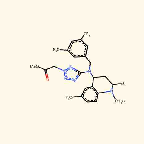 CCC1CC(N(Cc2cc(C(F)(F)F)cc(C(F)(F)F)c2)c2nnn(CC(=O)OC)n2)c2cc(C(F)(F)F)ccc2N1C(=O)O